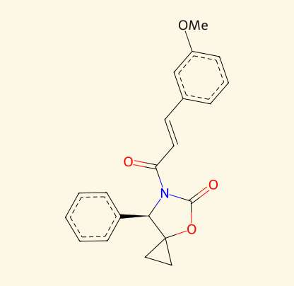 COc1cccc(/C=C/C(=O)N2C(=O)OC3(CC3)[C@H]2c2ccccc2)c1